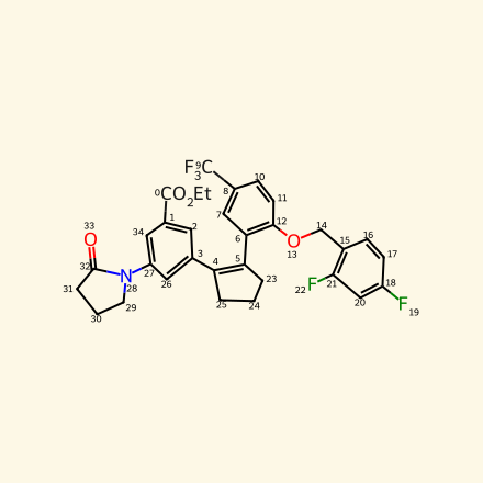 CCOC(=O)c1cc(C2=C(c3cc(C(F)(F)F)ccc3OCc3ccc(F)cc3F)CCC2)cc(N2CCCC2=O)c1